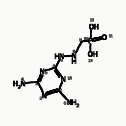 Nc1nc(N)nc(NNCP(=O)(O)O)n1